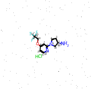 Cl.N[C@@H]1CCN(c2cc(OCC(F)(F)F)ccn2)C1